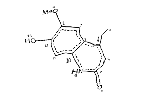 COc1cc2c(C)cc(=O)[nH]c2cc1O